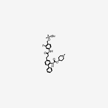 CN1CCC(OC(=O)Nc2cc(CCC(=O)Nc3ccc(CO[Si](C)(C)C(C)(C)C)c(F)c3)ccc2-c2ccccc2)CC1